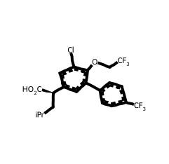 CC(C)C[C@@H](C(=O)O)c1cc(Cl)c(OCC(F)(F)F)c(-c2ccc(C(F)(F)F)cc2)c1